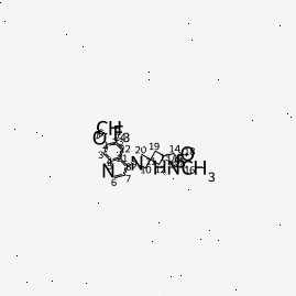 COc1cc2nccc(N3CC4(CC(C[S@@](C)(=N)=O)C4)C3)c2cc1F